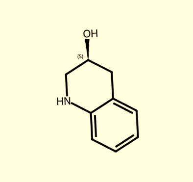 O[C@@H]1CNc2ccccc2C1